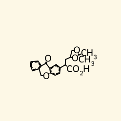 CC1(C)OCC(CC(C(=O)O)c2ccc3c(c2)C(=O)c2ccccc2CO3)O1